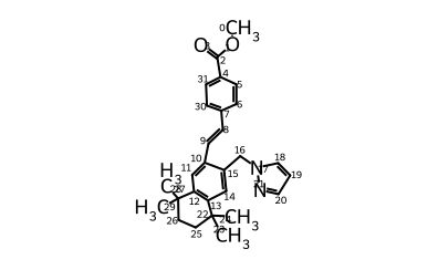 COC(=O)c1ccc(C=Cc2cc3c(cc2Cn2cccn2)C(C)(C)CCC3(C)C)cc1